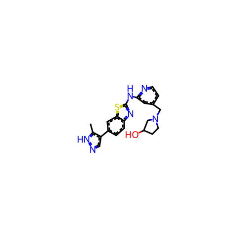 Cc1[nH]ncc1-c1ccc2nc(Nc3cc(CN4CCC(O)C4)ccn3)sc2c1